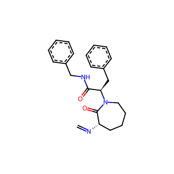 C=N[C@H]1CCCCN([C@H](Cc2ccccc2)C(=O)NCc2ccccc2)C1=O